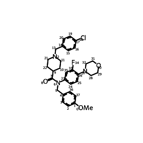 COc1ccc(CN(C(=O)C2CCN(Cc3ccc(Cl)cc3)CC2)c2ccc(N3CCOCC3)c(F)c2)cc1